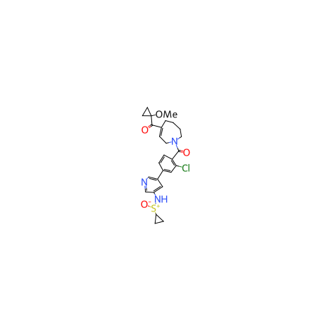 COC1(C(=O)/C2=C/CN(C(=O)c3ccc(-c4cncc(N[S+]([O-])C5CC5)c4)cc3Cl)CCCC2)CC1